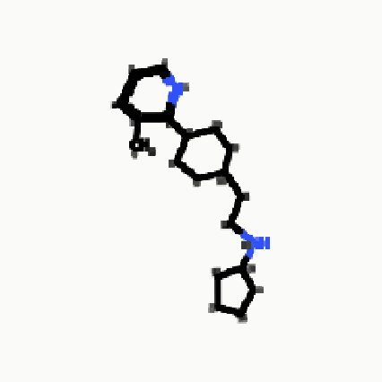 Cc1cccnc1C1CCC(CCNC2CCCC2)CC1